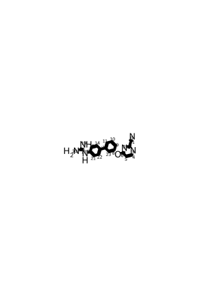 N#Cc1nccc(Oc2cccc(-c3ccc(NC(=N)N)cc3)c2)n1